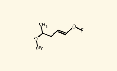 CCCOC(C)CC=COF